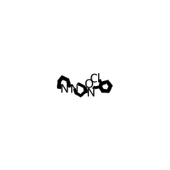 Clc1ccccc1-c1nc2c(o1)CN(c1ccccn1)CC2